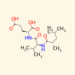 CC(C)C[C@H](C)C(=O)N[C@H](C(=O)N[C@@H](CCC(=O)O)C(=O)O)C(C)C